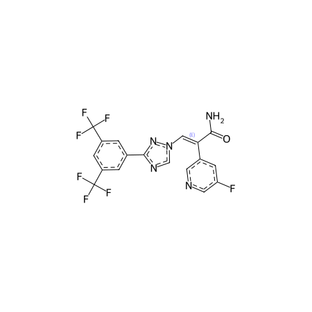 NC(=O)/C(=C/n1cnc(-c2cc(C(F)(F)F)cc(C(F)(F)F)c2)n1)c1cncc(F)c1